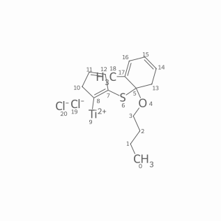 CCCCOC1(SC2=[C]([Ti+2])CC=C2)CC=CC=C1C.[Cl-].[Cl-]